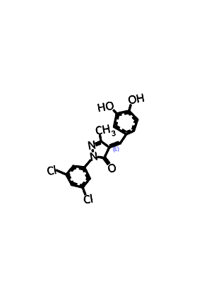 CC1=NN(c2cc(Cl)cc(Cl)c2)C(=O)/C1=C/c1ccc(O)c(O)c1